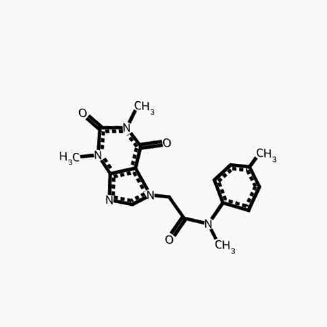 Cc1ccc(N(C)C(=O)Cn2cnc3c2c(=O)n(C)c(=O)n3C)cc1